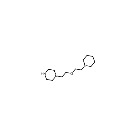 C1CCN(CCOCCN2CCNCC2)CC1